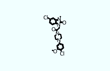 COc1cc(N2CCN(C(=O)Cn3c(=O)n(C)c4cc(Cl)ccc43)CC2)ccc1Cl